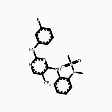 CN(c1ccccc1Nc1nc(Nc2cccc(F)c2)ncc1C(F)(F)F)S(C)(=O)=O